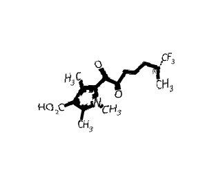 Cc1c(C(=O)O)c(C)n(C)c1C(=O)C(=O)CCC[C@@H](C)C(F)(F)F